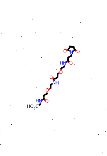 O=C(O)CNC(=O)CCOCCNC(=O)CCOCCNC(=O)CCN1C(=O)C=CC1=O